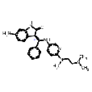 CN(C)CCN(C)c1ccc(N/C(=C2\C(=O)Nc3cc(N)ccc32)c2ccccc2)cn1